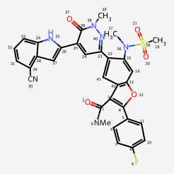 CNC(=O)c1c(-c2ccc(F)cc2)oc2cc(N(C)S(C)(=O)=O)c(-c3cc(-c4cc5c(C#N)cccc5[nH]4)c(=O)n(C)n3)cc12